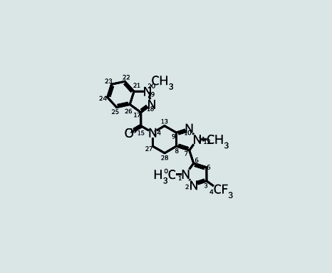 Cn1nc(C(F)(F)F)cc1-c1c2c(nn1C)CN(C(=O)c1nn(C)c3ccccc13)CC2